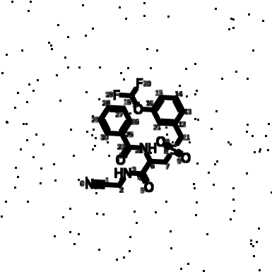 N#CCNC(=O)C(CS(=O)(=O)Cc1cccc(OC(F)F)c1)NC(=O)c1ccccc1